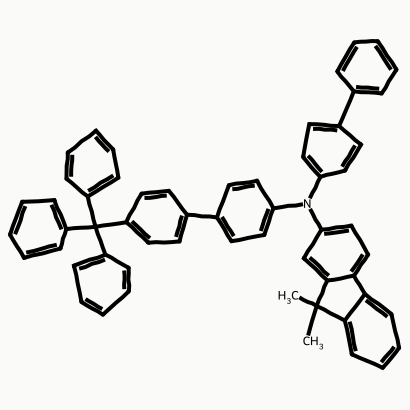 CC1(C)c2ccccc2-c2ccc(N(c3ccc(-c4ccccc4)cc3)c3ccc(-c4ccc(C(c5ccccc5)(c5ccccc5)c5ccccc5)cc4)cc3)cc21